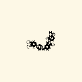 O=C1CCC(N2Cc3cc(CN4CCN(c5ccc(Cl)c(Cl)c5)CC4)ccc3C2=O)C(=O)N1